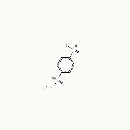 COS(=O)(=O)c1ccc(S(=O)(=O)Cl)cc1